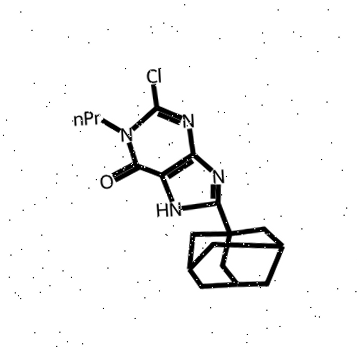 CCCn1c(Cl)nc2nc(C34CC5CC(CC(C5)C3)C4)[nH]c2c1=O